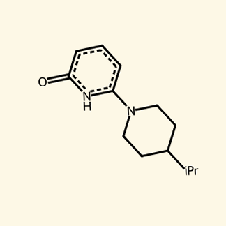 CC(C)C1CCN(c2cccc(=O)[nH]2)CC1